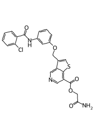 NC(=O)COC(=O)c1cncc2c(COc3cccc(NC(=O)c4ccccc4Cl)c3)csc12